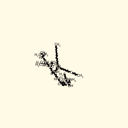 CCCCCCCCCCCCCCCCOP(=O)(CCCN[C@@H](CCCCNC(=O)CNC(=O)c1ccc(Cn2c(O)nc3c(N)nc(NCCCC)nc32)cc1)C(=O)NCCCN(CCCCN(CCCNC(=O)OC(C)(C)C)C(=O)OC(C)(C)C)C(=O)OC(C)(C)C)OCCCCCCCCCCCCCCCC